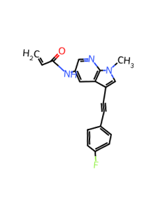 C=CC(=O)Nc1cnc2c(c1)c(C#Cc1ccc(F)cc1)cn2C